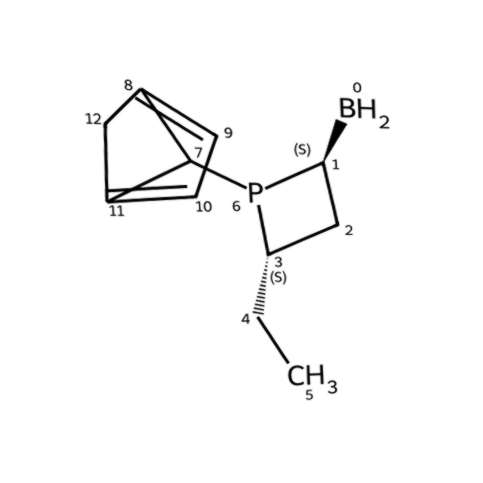 B[C@H]1C[C@H](CC)P1C1C2=CC=C1C2